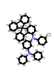 Clc1cccc(N(c2cccc(N(c3ccccc3)c3ccccc3)c2)c2cccc3c2-c2ccccc2C32c3ccccc3-c3ccccc32)c1